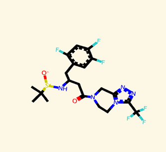 CC(C)(C)[S+]([O-])NC(CC(=O)N1CCn2c(nnc2C(F)(F)F)C1)Cc1cc(F)c(F)cc1F